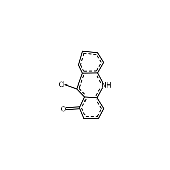 O=c1cccc2[nH]c3ccccc3c(Cl)c1-2